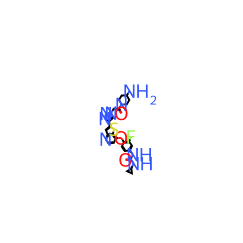 NC1CCN(C(=O)Cn2cc(-c3cc4nccc(Oc5ccc(NC(=O)NC6CC6)cc5F)c4s3)nn2)CC1